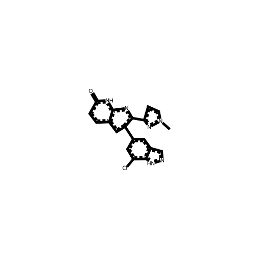 Cn1ccc(-c2nc3[nH]c(=O)ccc3cc2-c2cc(Cl)c3[nH]ncc3c2)n1